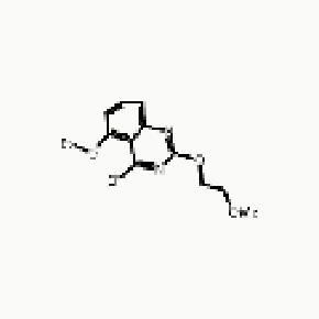 CCOc1cccc2nc(OCCOC)nc(Cl)c12